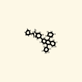 In1c(-c2ccccc2)nc2cc(-c3ccc4c(-c5ccccc5)c5ccccc5c(-c5ccccc5)c4c3)ccc21